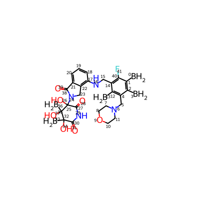 Bc1c(B)c(CN2CCOCC2)c(B)c(CNc2cccc3c2CN(C2(O)C(=O)NC(=O)C(B)(O)C2(B)O)C3=O)c1F